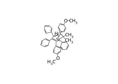 COc1ccc(C2=C(c3ccccc3)C(c3ccccc3)=C(c3ccc(OC)cc3)[Si]2(c2ccccc2)C(C)(C)C)cc1